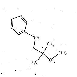 CC(C)(CNc1ccccc1)OC=O